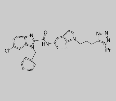 CC(C)n1nnnc1CCCn1ccc2cc(NC(=O)c3nc4ccc(Cl)cc4n3Cc3ccccc3)ccc21